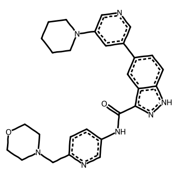 O=C(Nc1ccc(CN2CCOCC2)nc1)c1n[nH]c2ccc(-c3cncc(N4CCCCC4)c3)cc12